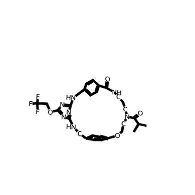 CC(C)C(=O)N1CCCNC(=O)c2ccc(cc2)Nc2nc(nc(OCC(F)(F)F)n2)NCc2ccc(cc2)OCC1